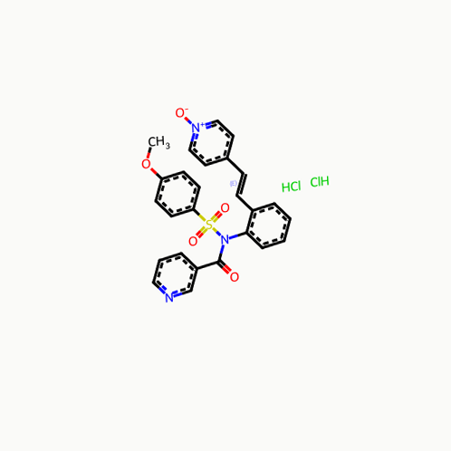 COc1ccc(S(=O)(=O)N(C(=O)c2cccnc2)c2ccccc2/C=C/c2cc[n+]([O-])cc2)cc1.Cl.Cl